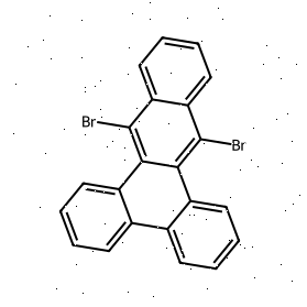 Brc1c2ccccc2c(Br)c2c3ccccc3c3ccccc3c12